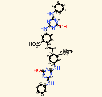 O=S(=O)(O)c1cc(Nc2nc(O)nc(Nc3ccccc3)n2)ccc1C=Cc1ccc(Nc2nc(O)nc(Nc3ccccc3)n2)cc1S(=O)(=O)O.[Na].[Na]